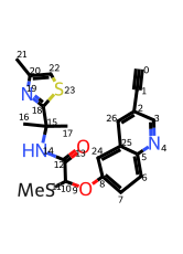 C#Cc1cnc2ccc(OC(SC)C(=O)NC(C)(C)c3nc(C)cs3)cc2c1